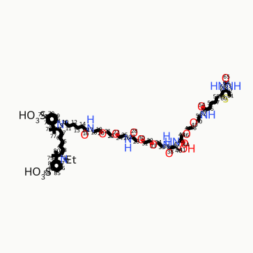 CCN1/C(=C/C=C/C=C/C2=[N+](CCCCCC(=O)NCCOCCOCCNC(=O)COCCOCCNC(=O)[C@H](CO)NC(=O)COCCOCCNC(=O)CCCC[C@@H]3SCC4NC(=O)NC43)c3ccc(S(=O)(=O)O)cc3C2(C)C)C(C)(C)c2cc(S(=O)(=O)O)ccc21